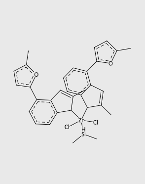 CC1=Cc2c(-c3ccc(C)o3)cccc2[CH]1[Zr]([Cl])([Cl])([CH]1C(C)=Cc2c(-c3ccc(C)o3)cccc21)[SiH](C)C